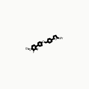 CCCC1CCC(c2ccc(COc3ccc(-c4ccc(OCC)c(F)c4F)cc3)cc2)O1